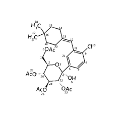 CC(=O)OC[C@H]1O[C@@](O)(c2ccc(Cl)c(C=C3CCC(C)(C)CC3)c2)[C@H](OC(C)=O)[C@@H](OC(C)=O)[C@@H]1OC(C)=O